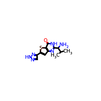 CC(C)C(N)c1nc2cc(-c3cn[nH]n3)sc2c(=O)[nH]1